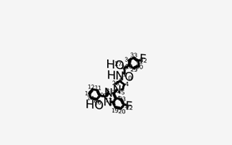 O=C(NC1CCN(c2nc(-c3ccccc3O)nc3ccc(F)cc23)C1)C(O)c1ccc(F)cc1